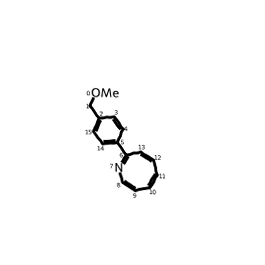 COCc1ccc(C2=NC=CC=CC=C2)cc1